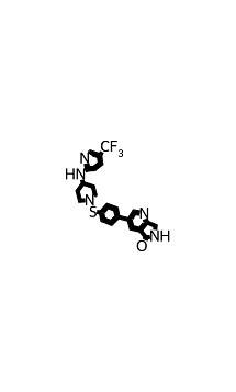 O=C1NCc2ncc(-c3ccc(SN4CCC(Nc5ccc(C(F)(F)F)cn5)CC4)cc3)cc21